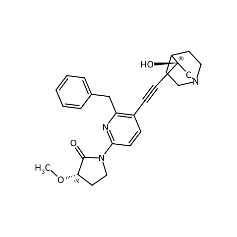 CO[C@H]1CCN(c2ccc(C#C[C@@]3(O)CN4CCC3CC4)c(Cc3ccccc3)n2)C1=O